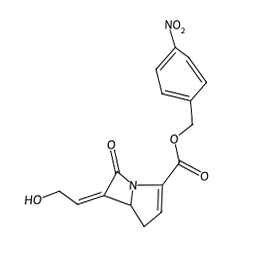 O=C(OCc1ccc([N+](=O)[O-])cc1)C1=CCC2C(=CCO)C(=O)N12